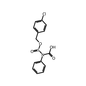 O=C(O)N(c1ccccc1)S(=O)OCc1ccc(Cl)cc1